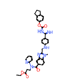 CCOC(=O)CCN(C(=O)c1ccc2c(c1)nc(CNc1ccc(C(=N)NC(=O)Oc3ccc4c(c3)CCC4)cc1)n2C)c1ccccn1